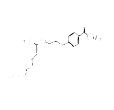 CCCCCCC(C)OCCCc1ccc(C(=O)O)cc1